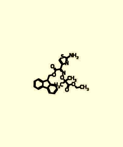 CCOC(=O)C(C)(C)ON=C(C(=O)OCC1c2ccccc2-c2ccccc21)c1csc(N)n1